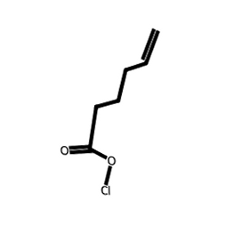 C=CCCCC(=O)OCl